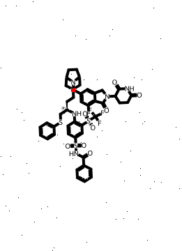 O=C1CCC(N2Cc3cc(CN4C5CCC4CN(CC[C@H](CSc4ccccc4)Nc4ccc(S(=O)(=O)NC(=O)c6ccccc6)cc4S(=O)(=O)C(F)(F)F)C5)cc(F)c3C2=O)C(=O)N1